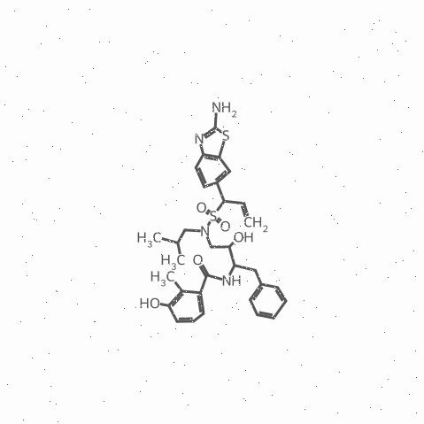 C=CC(c1ccc2nc(N)sc2c1)S(=O)(=O)N(CC(C)C)CC(O)C(Cc1ccccc1)NC(=O)c1cccc(O)c1C